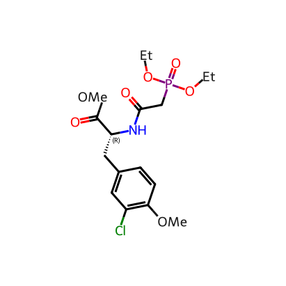 CCOP(=O)(CC(=O)N[C@H](Cc1ccc(OC)c(Cl)c1)C(=O)OC)OCC